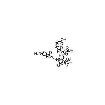 CC(C)(CC(=O)O)CC(C)(C)CC(=O)N[C@@H](CS(=O)(=O)O)C(=O)N[C@@H](CS(=O)(=O)O)C(=O)N[C@@H](CCCCNC(=O)c1ccc(N)cc1)C(N)=O